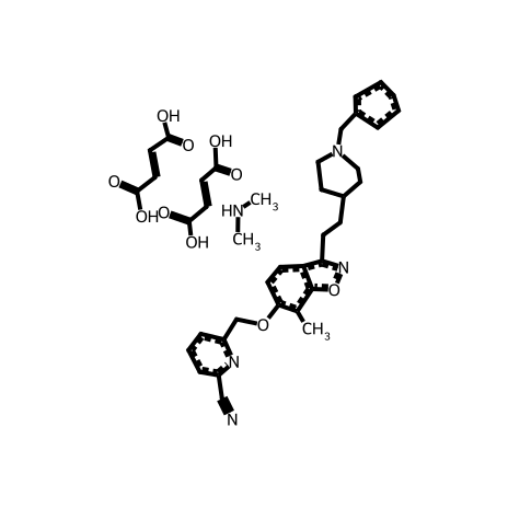 CNC.Cc1c(OCc2cccc(C#N)n2)ccc2c(CCC3CCN(Cc4ccccc4)CC3)noc12.O=C(O)C=CC(=O)O.O=C(O)C=CC(=O)O